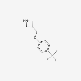 FC(F)(F)c1ccc(OCC2CNC2)cc1